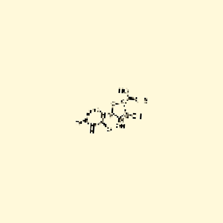 O=c1ccn([C@@H]2O[C@H](C(O)=C=S)[C@@H](O)[C@H]2O)c(=O)[nH]1